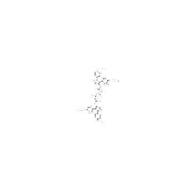 COc1ccc(-c2noc(CC(=O)NC(C)CC(C)(C)NC(=O)Cc3onc(-c4ccc(OC)cc4)c3-c3ccc(OC)cc3)c2-c2ccc(OC)cc2)cc1